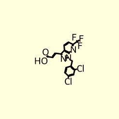 O=C(O)/C=C/c1nn(Cc2ccc(Cl)cc2Cl)c2nc(C(F)(F)F)ccc12